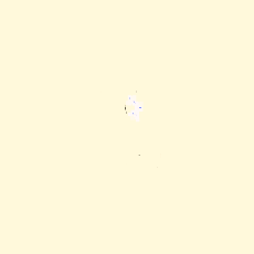 CC(C)Cc1cn(COCCC(C)(C)C)nn1